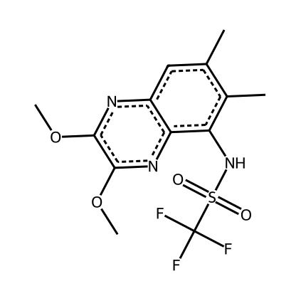 COc1nc2cc(C)c(C)c(NS(=O)(=O)C(F)(F)F)c2nc1OC